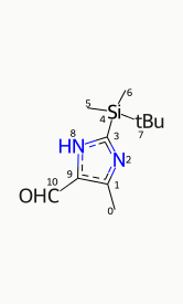 Cc1nc([Si](C)(C)C(C)(C)C)[nH]c1C=O